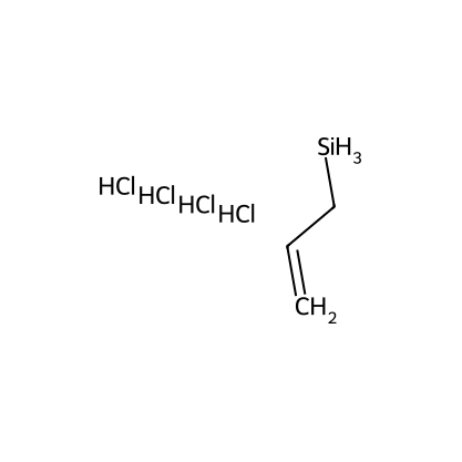 C=CC[SiH3].Cl.Cl.Cl.Cl